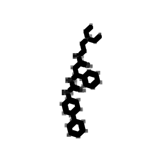 CCN(CC)CCNC(=O)CC(NC(=O)Nc1ccc(-c2ccccc2)cc1)c1ccccc1